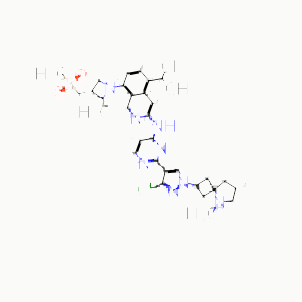 CC(C)c1ccc(N2C[C@H](CS(C)(=O)=O)[C@H]2C)c2cnc(Nc3ccnc(-c4cn(C5CC6(CCCN6C)C5)nc4Cl)n3)cc12